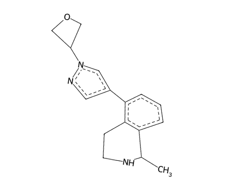 CC1NCCc2c(-c3cnn(C4COC4)c3)cccc21